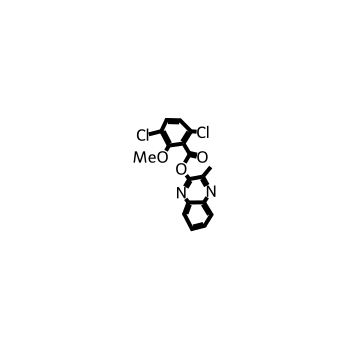 COc1c(Cl)ccc(Cl)c1C(=O)Oc1nc2ccccc2nc1C